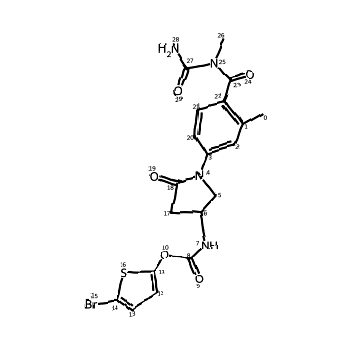 Cc1cc(N2CC(NC(=O)Oc3ccc(Br)s3)CC2=O)ccc1C(=O)N(C)C(N)=O